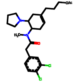 CC(=O)OCCCC1=CCC(N(C)C(=O)Cc2ccc(Cl)c(Cl)c2)C(N2CCCC2)C1